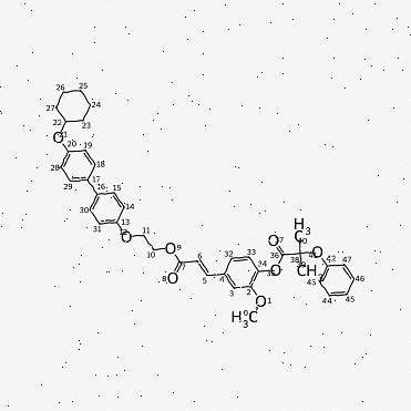 COc1cc(C=CC(=O)OCCOc2ccc(-c3ccc(OC4CCCCC4)cc3)cc2)ccc1OC(=O)C(C)(C)Oc1ccccc1